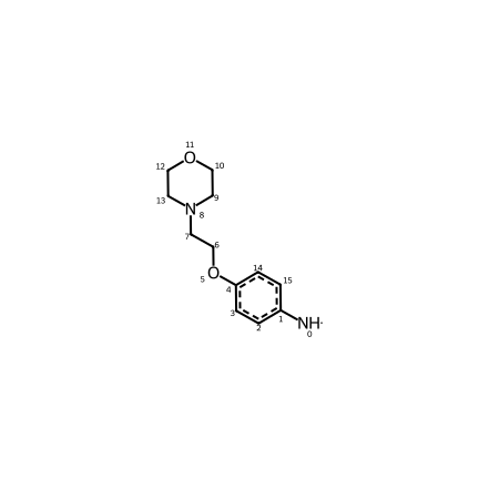 [NH]c1ccc(OCCN2CCOCC2)cc1